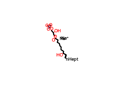 CCCCCCCC=CC(O)CCCCCCCC(=O)OC[C@H](O)COP(=O)([O-])[O-].[Na+].[Na+]